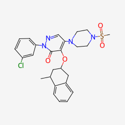 CC1CC(Oc2c(N3CCN(S(C)(=O)=O)CC3)cnn(-c3cccc(Cl)c3)c2=O)Cc2ccccc21